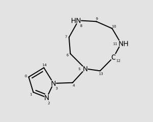 c1cnn(CN2CCNCCNCC2)c1